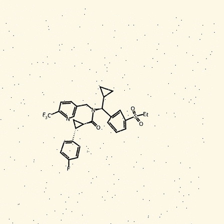 CCS(=O)(=O)c1cccc([C@H](C2CC2)N(Cc2ccc(C(F)(F)F)nc2)C(=O)[C@@H]2C[C@H]2c2ccc(F)cc2)c1